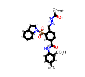 CCCCCC(=O)/N=N/Cc1ccc(C(=O)Nc2ccc(C#N)cc2C(=O)O)cc1S(=O)(=O)N1CCc2ccccc21